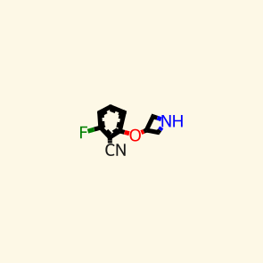 N#Cc1c(F)cccc1OC1CNC1